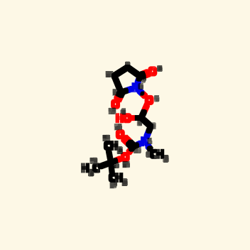 CN(CC(O)ON1C(=O)CCC1=O)C(=O)OC(C)(C)C